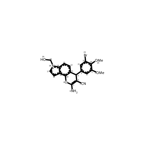 COc1cc(C2C(C#N)=C(N)Oc3c2ccc2c3ccn2CO)cc(Br)c1OC